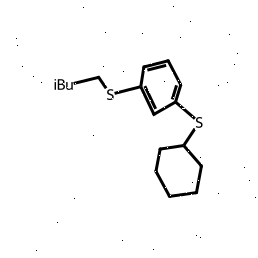 CCC(C)CSc1cccc(SC2CCCCC2)c1